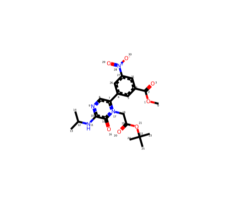 COC(=O)c1cc(-c2cnc(NC(C)C)c(=O)n2CC(=O)OC(C)(C)C)cc([N+](=O)[O-])c1